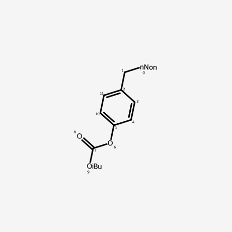 CCCCCCCCCCc1ccc(OC(=O)OCC(C)C)cc1